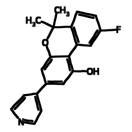 CC1(C)Oc2cc(-c3ccncc3)cc(O)c2-c2cc(F)ccc21